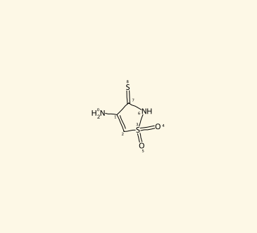 NC1=CS(=O)(=O)NC1=S